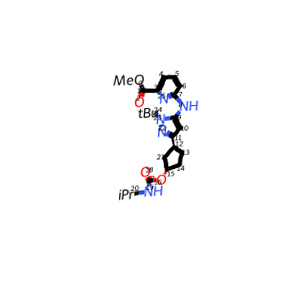 COC(=O)c1cccc(Nc2cc([C@H]3CC[C@@H](OC(=O)NC(C)C)C3)nn2C(C)(C)C)n1